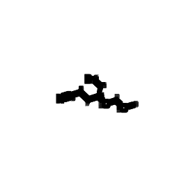 COCO[C@H](CBr)CCC#N